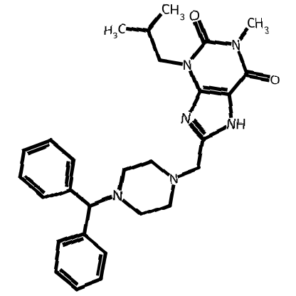 CC(C)Cn1c(=O)n(C)c(=O)c2[nH]c(CN3CCN(C(c4ccccc4)c4ccccc4)CC3)nc21